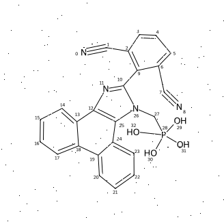 N#Cc1cccc(C#N)c1-c1nc2c3ccccc3c3ccccc3c2n1CP(O)(O)(O)O